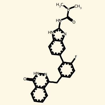 CN(C)C(=O)Nc1nc2cc(-c3cc(Cc4n[nH]c(=O)c5ccccc45)ccc3F)ccc2[nH]1